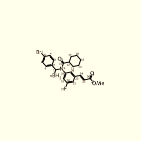 BC(c1ccc(Br)cc1)N(C(=O)C1CCCCC1)c1cc(F)cc(/C=C/C(=O)OC)c1